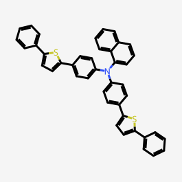 c1ccc(-c2ccc(-c3ccc(N(c4ccc(-c5ccc(-c6ccccc6)s5)cc4)c4cccc5ccccc45)cc3)s2)cc1